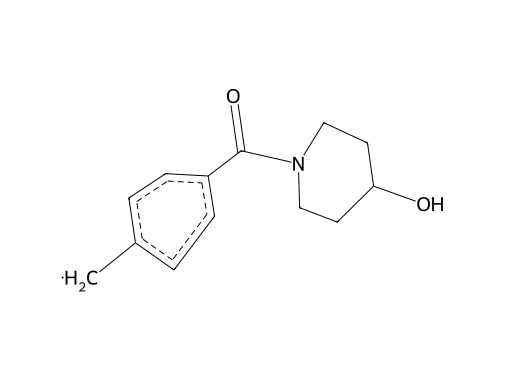 [CH2]c1ccc(C(=O)N2CCC(O)CC2)cc1